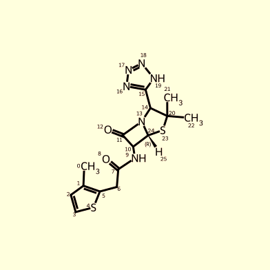 Cc1ccsc1CC(=O)NC1C(=O)N2C(c3nnn[nH]3)C(C)(C)S[C@H]12